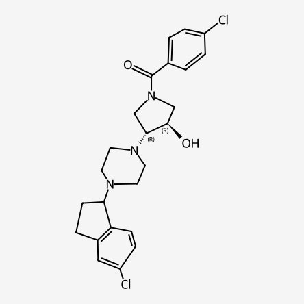 O=C(c1ccc(Cl)cc1)N1C[C@@H](O)[C@H](N2CCN(C3CCc4cc(Cl)ccc43)CC2)C1